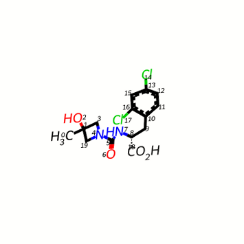 CC1(O)CN(C(=O)N[C@H](Cc2ccc(Cl)cc2Cl)C(=O)O)C1